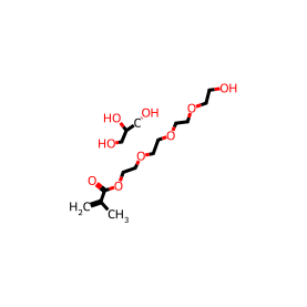 C=C(C)C(=O)OCCOCCOCCOCCO.OCC(O)CO